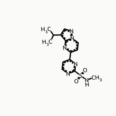 CNS(=O)(=O)c1nccc(-c2ccn3ncc(C(C)C)c3n2)n1